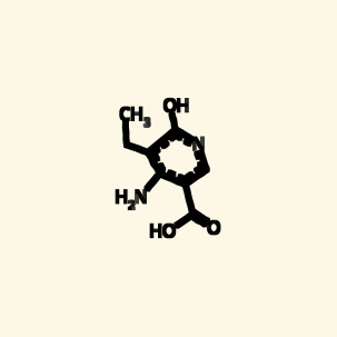 CCc1c(O)ncc(C(=O)O)c1N